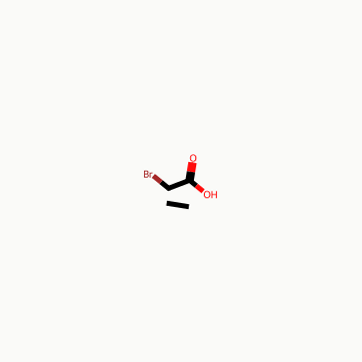 CC.O=C(O)CBr